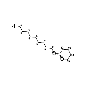 ICCCCCCCCCOC1CCCCO1